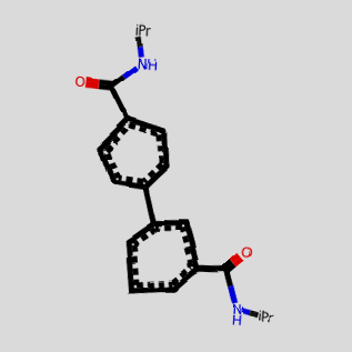 CC(C)NC(=O)c1ccc(-c2cccc(C(=O)NC(C)C)c2)cc1